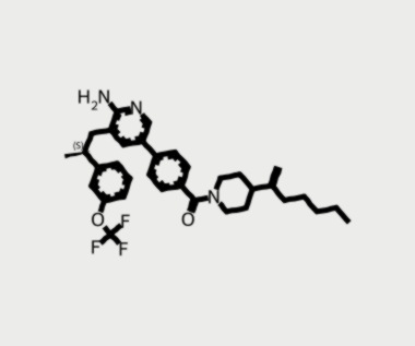 C=C(CCCCC)C1CCN(C(=O)c2ccc(-c3cnc(N)c(C[C@H](C)c4cccc(OC(F)(F)F)c4)c3)cc2)CC1